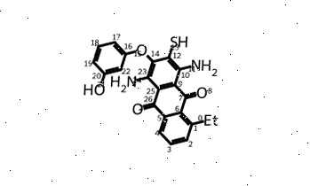 CCc1cccc2c1C(=O)c1c(N)c(S)c(Oc3cccc(O)c3)c(N)c1C2=O